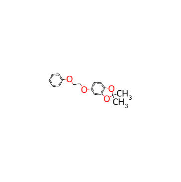 CC1(C)Oc2ccc(OCCOc3ccccc3)cc2O1